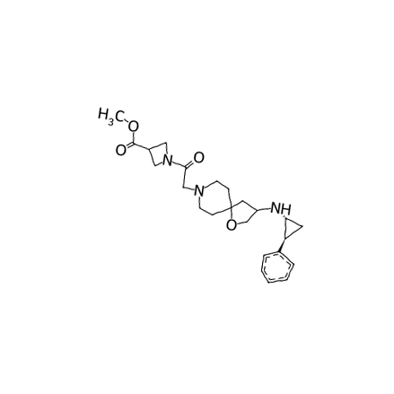 COC(=O)C1CN(C(=O)CN2CCC3(CC2)CC(N[C@@H]2C[C@H]2c2ccccc2)CO3)C1